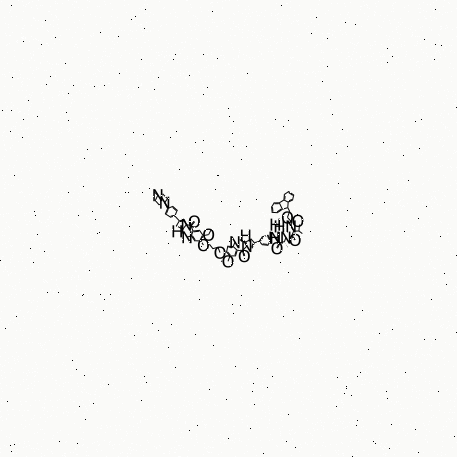 COc1cc2c(cc1OCCCOc1cc3c(cc1OC)C(=O)N1C=C(c4ccc(N5CCN(C)CC5)cc4)C[C@H]1C=N3)N=C[C@@H]1CC(c3ccc(NC(=O)[C@@H](C)NC(=O)[C@@H](NC(=O)OCC4c5ccccc5-c5ccccc54)C(C)C)cc3)=CN1C2=O